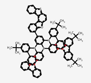 CC(C)(C)c1ccc(N2c3cc(-n4c5ccccc5c5ccccc54)ccc3B3c4ccc(-n5c6ccc(C(C)(C)C)cc6c6cc(C(C)(C)C)ccc65)cc4N(c4ccc(C(C)(C)C)cc4-c4ccccc4)c4cc(-c5cccc6c5oc5ccc7sc8ccccc8c7c56)cc2c43)c(-c2ccccc2)c1